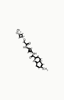 Cc1ccc2nc(C(=O)NC34CC(NC(=O)CO[C@H]5C[C@@H](OC(F)(F)F)C5)(C3)C4)ccc2c1